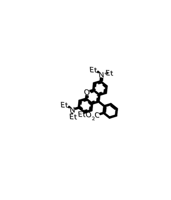 CCOC(=O)C1=C(c2c3ccc(=[N+](CC)CC)cc-3oc3cc(N(CC)CC)ccc23)C=CCC1